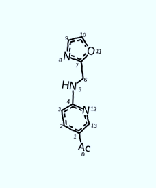 CC(=O)c1ccc(NCc2ncco2)nc1